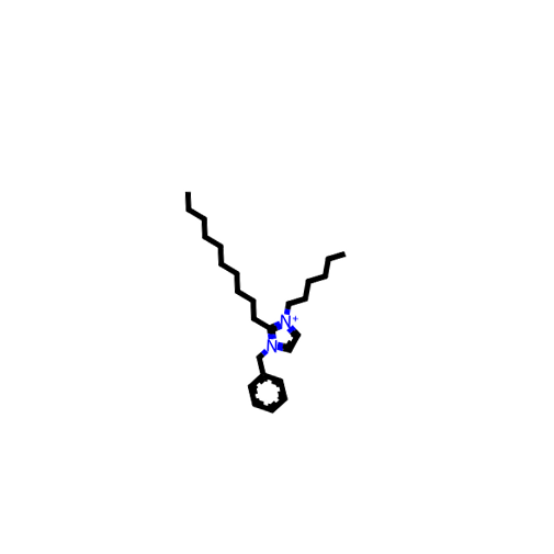 CCCCCCCCCCc1n(Cc2ccccc2)cc[n+]1CCCCCC